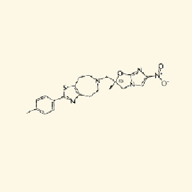 Cc1ccc(-c2nc3c(s2)CCN(C[C@@]2(C)Cn4cc([N+](=O)[O-])nc4O2)CC3)cc1